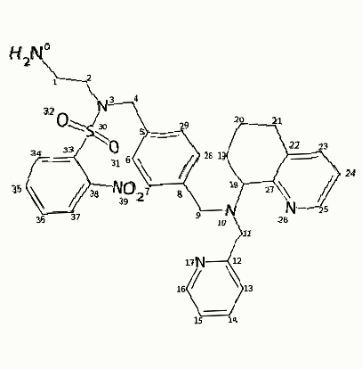 NCCN(Cc1ccc(CN(Cc2ccccn2)C2CCCc3cccnc32)cc1)S(=O)(=O)c1ccccc1[N+](=O)[O-]